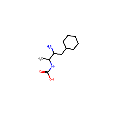 CC(NC(=O)O)C(N)CC1CCCCC1